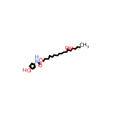 CCCCCCC(O)CCCCCCCCCCCOC(=O)Nc1ccc(O)cc1